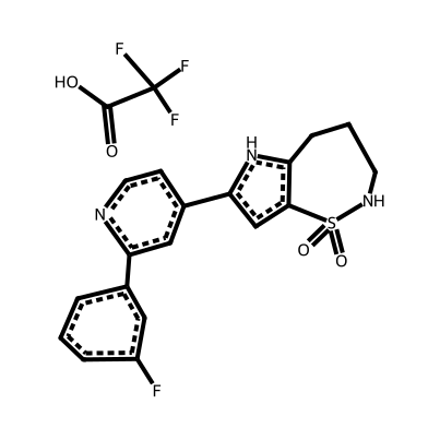 O=C(O)C(F)(F)F.O=S1(=O)NCCCc2[nH]c(-c3ccnc(-c4cccc(F)c4)c3)cc21